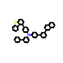 c1ccc(-c2cccc(N(c3ccc(-c4cccc(-c5ccc6ccccc6c5)c4)cc3)c3ccc(-c4cccc5sc6ccccc6c45)cc3)c2)cc1